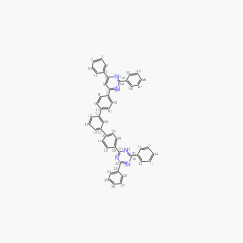 c1ccc(-c2cc(-c3ccc(-c4cccc(-c5ccc(-c6nc(-c7ccccc7)nc(-c7ccccc7)n6)cc5)c4)cc3)nc(-c3ccccc3)n2)cc1